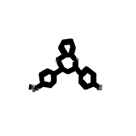 Cc1ccc(C2CC(c3ccc(Cl)cc3)=Nc3ccccc3S2)cc1